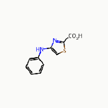 O=C(O)c1nc(Nc2ccccc2)cs1